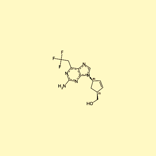 Nc1nc(CC(F)(F)F)c2ncn([C@H]3C=C[C@@H](CO)C3)c2n1